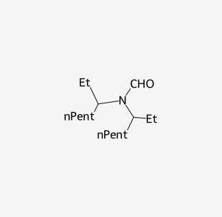 CCCCCC(CC)N(C=O)C(CC)CCCCC